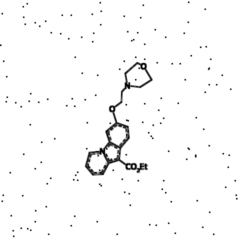 CCOC(=O)c1c2ccc(OCCN3CCOCC3)cc2n2ccccc12